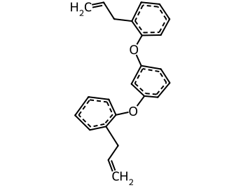 C=CCc1ccccc1Oc1cccc(Oc2ccccc2CC=C)c1